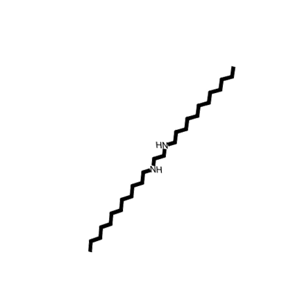 CCCCCCCCCCCCNCCNCCCCCCCCCCCC